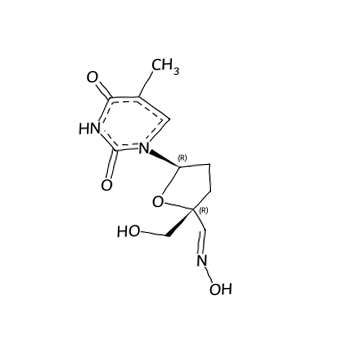 Cc1cn([C@H]2CC[C@@](C=NO)(CO)O2)c(=O)[nH]c1=O